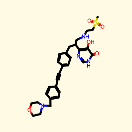 CS(=O)(=O)CCNCC(Cc1ccc(C#Cc2ccc(CN3CCOCC3)cc2)cc1)c1nc[nH]c(=O)c1O